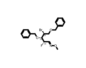 CON=C[C@H](F)[C@H](OCc1ccccc1)[C@@H](Br)COCc1ccccc1